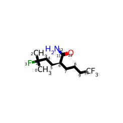 CC(C)(F)CC[C@H](CCCC(F)(F)F)C(N)=O